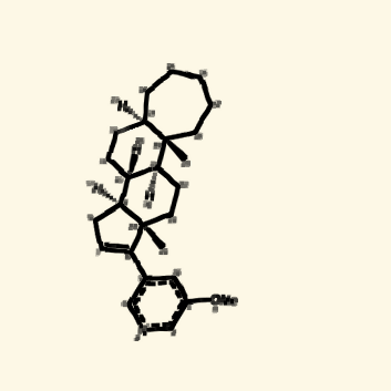 COc1cncc(C2=CC[C@H]3[C@@H]4CC[C@H]5CCCCC[C@]5(C)[C@H]4CC[C@]23C)c1